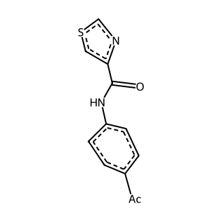 CC(=O)c1ccc(NC(=O)c2cscn2)cc1